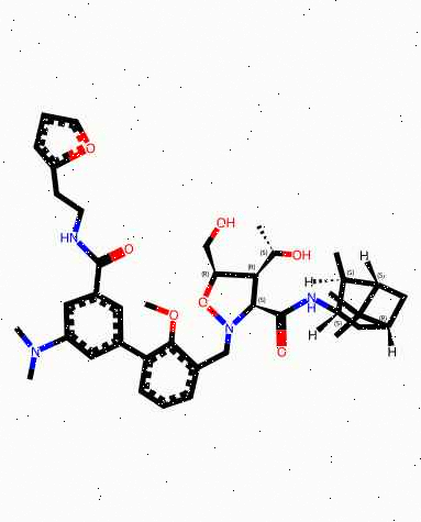 COc1c(CN2O[C@@H](CO)[C@@H]([C@H](C)O)[C@H]2C(=O)N[C@H]2C[C@H]3C[C@@H]([C@@H]2C)C3(C)C)cccc1-c1cc(C(=O)NCCc2ccco2)cc(N(C)C)c1